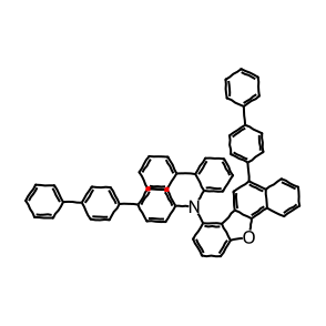 c1ccc(-c2ccc(-c3ccc(N(c4ccccc4-c4ccccc4)c4cccc5oc6c7ccccc7c(-c7ccc(-c8ccccc8)cc7)cc6c45)cc3)cc2)cc1